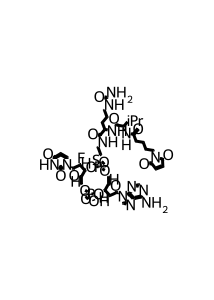 CC(C)C(NC(=O)CCCCN1C(=O)C=CC1=O)C(=O)NC(CCCNC(N)=O)C(=O)NCCSP1(=O)OC[C@H]2O[C@@H](n3cnc4c(N)ncnc43)C[C@@H]2OP(=O)(O)OC[C@H]2O[C@@H](n3ccc(=O)[nH]c3=O)[C@H](F)[C@@H]2O1